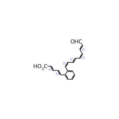 O=C/C=C/C=C\C=C\C=C/c1ccccc1/C=C/C=C/C(=O)O